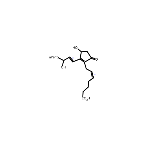 CCCCCC(O)/C=C/C1=C(C/C=C\CCCC(=O)O)C(=O)CC1O